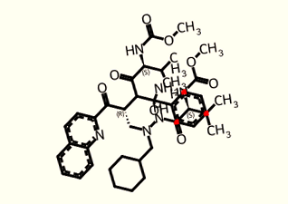 COC(=O)N[C@H](C(=O)NN(CC1CCCCC1)C[C@H](C(=O)c1ccc2ccccc2n1)C(C(=O)[C@@H](NC(=O)OC)C(C)C)C(N)(O)c1ccccc1)C(C)C